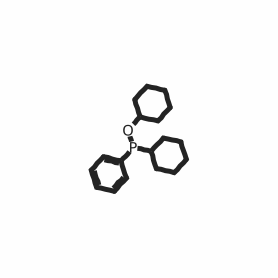 c1ccc(P(OC2CCCCC2)C2CCCCC2)cc1